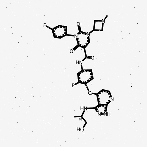 C[C@H](CO)Nc1n[nH]c2nccc(Oc3ccc(NC(=O)c4cn(C5CN(C)C5)c(=O)n(-c5ccc(F)cc5)c4=O)cc3F)c12